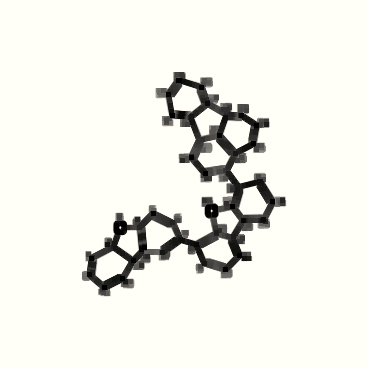 C1=CC2Oc3ccc(-c4cccc5c4oc4c(-c6ccc7c8c(cccc68)-c6ccccc6-7)cccc45)cc3C2C=C1